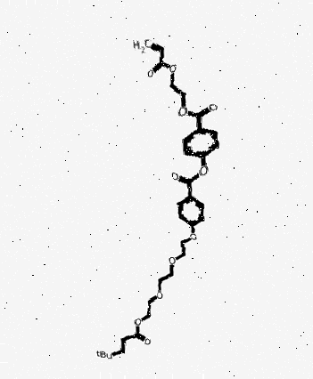 C=CC(=O)OCCOC(=O)c1ccc(OC(=O)c2ccc(OCCOCCOCCOC(=O)CCC(C)(C)C)cc2)cc1